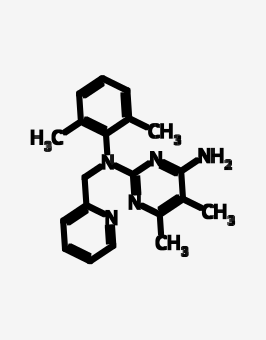 Cc1cccc(C)c1N(Cc1ccccn1)c1nc(C)c(C)c(N)n1